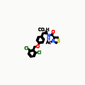 CC(=O)N1CSC[C@@H]1C(=O)N[C@@H](Cc1ccc(OCc2c(Cl)cccc2Cl)cc1)C(=O)O